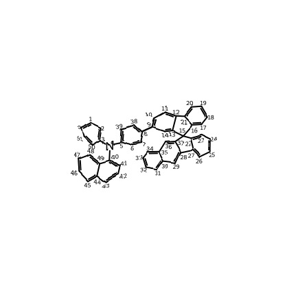 c1ccc(N(c2ccc(-c3ccc4c(c3)C3(c5ccccc5-4)c4ccccc4-c4cc5ccccc5cc43)cc2)c2cccc3ccccc23)cc1